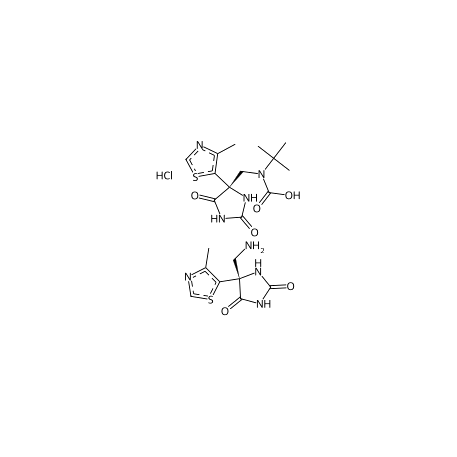 Cc1ncsc1[C@]1(CN(C(=O)O)C(C)(C)C)NC(=O)NC1=O.Cc1ncsc1[C@]1(CN)NC(=O)NC1=O.Cl